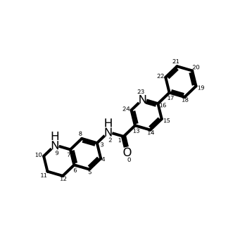 O=C(Nc1ccc2c(c1)NCCC2)c1ccc(-c2ccccc2)nc1